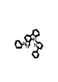 c1ccc(-c2cccc(-n3c4ccccc4c4ccc5c(cnn5-c5ccccc5)c43)n2)cc1